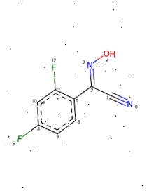 N#CC(=NO)c1ccc(F)cc1F